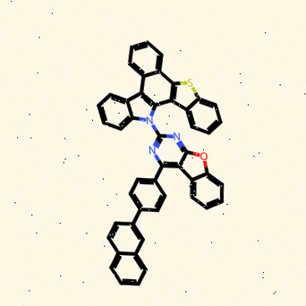 c1ccc2cc(-c3ccc(-c4nc(-n5c6ccccc6c6c7ccccc7c7sc8ccccc8c7c65)nc5oc6ccccc6c45)cc3)ccc2c1